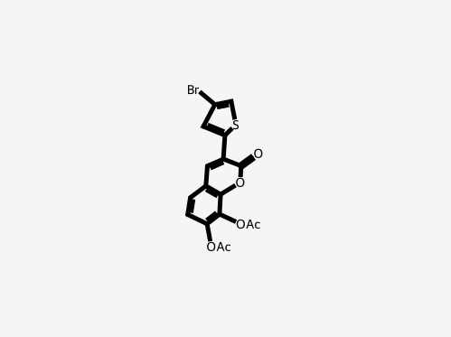 CC(=O)Oc1ccc2cc(-c3cc(Br)cs3)c(=O)oc2c1OC(C)=O